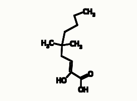 CCCCC(C)(C)C/C=C(\O)C(=O)O